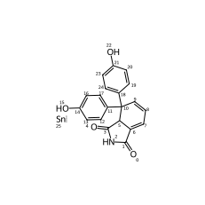 O=C1NC(=O)C2C1=CC=CC2(c1ccc(O)cc1)c1ccc(O)cc1.[Sn]